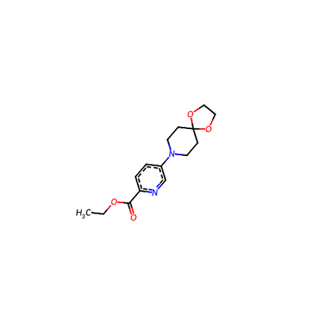 CCOC(=O)c1ccc(N2CCC3(CC2)OCCO3)cn1